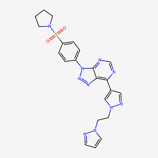 O=S(=O)(c1ccc(-n2nnc3c(-c4cnn(CCn5cccn5)c4)n[c]nc32)cc1)N1CCCC1